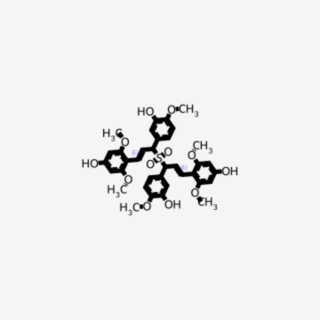 COc1ccc(C(/C=C/c2c(OC)cc(O)cc2OC)S(=O)(=O)C(/C=C/c2c(OC)cc(O)cc2OC)c2ccc(OC)c(O)c2)cc1O